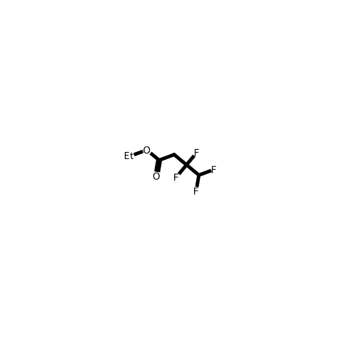 CCOC(=O)CC(F)(F)[C](F)F